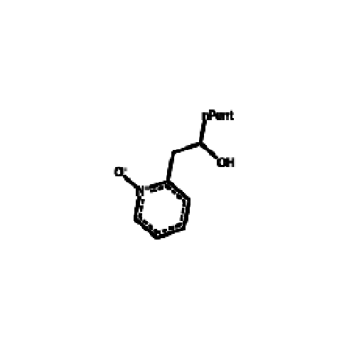 CCCCCC(O)Cc1cccc[n+]1[O-]